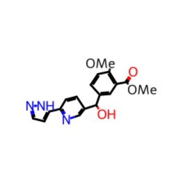 COC(=O)c1cc(C(O)c2ccc(-c3ccn[nH]3)nc2)ccc1OC